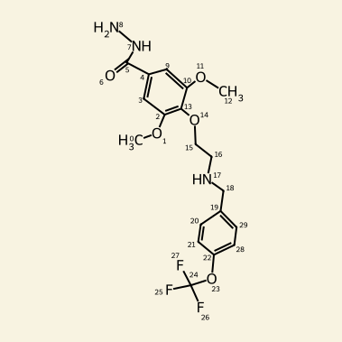 COc1cc(C(=O)NN)cc(OC)c1OCCNCc1ccc(OC(F)(F)F)cc1